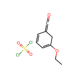 CCOC1=CC=CC(=C=O)C1.O=S(=O)(Cl)Cl